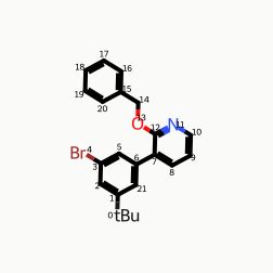 CC(C)(C)c1cc(Br)cc(-c2cccnc2OCc2ccccc2)c1